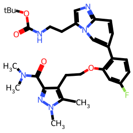 Cc1c(CCOc2cc(F)ccc2-c2ccc3ncc(CCNC(=O)OC(C)(C)C)n3c2)c(C(=O)N(C)C)nn1C